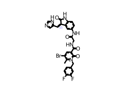 Cc1c(Br)cc(C(=O)NCC(=O)Nc2ccc3c(c2)/C(=C/c2cnc[nH]2)C(=O)N3)c(=O)n1Cc1ccc(F)c(F)c1